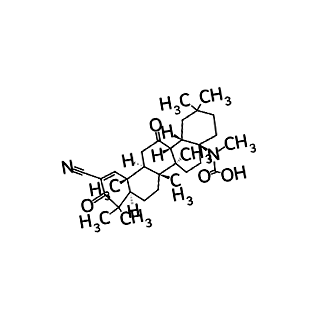 CN(C(=O)O)[C@]12CCC(C)(C)C[C@H]1[C@H]1C(=O)C[C@@H]3[C@@]4(C)C=C(C#N)C(=O)C(C)(C)[C@@H]4CC[C@@]3(C)[C@]1(C)CC2